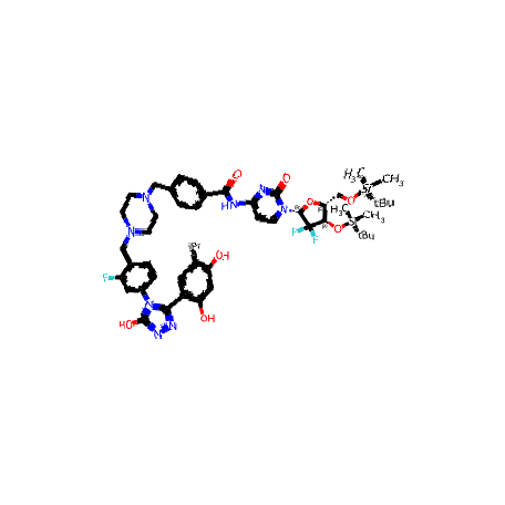 CC(C)c1cc(-c2nnc(O)n2-c2ccc(CN3CCN(Cc4ccc(C(=O)Nc5ccn([C@@H]6O[C@H](CO[Si](C)(C)C(C)(C)C)[C@@H](O[Si](C)(C)C(C)(C)C)C6(F)F)c(=O)n5)cc4)CC3)c(F)c2)c(O)cc1O